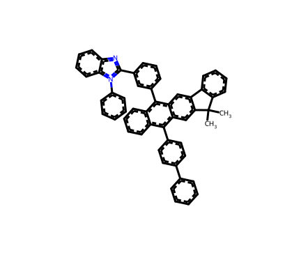 CC1(C)c2ccccc2-c2cc3c(-c4cccc(-c5nc6ccccc6n5-c5ccccc5)c4)c4ccccc4c(-c4ccc(-c5ccccc5)cc4)c3cc21